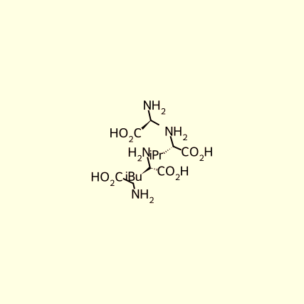 CC(C)[C@H](N)C(=O)O.CC[C@H](C)[C@H](N)C(=O)O.C[C@H](N)C(=O)O.NCC(=O)O